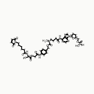 CC(C)C(NC(=O)CCCCCN1C(=O)C=CC1=O)C(=O)NCC(=O)Nc1ccc(COC(=O)N(C)CCCC(=O)Nc2ncnc3c2ncn3[C@H]2CC[C@@H](CO[P@](=O)(O)S)O2)cc1